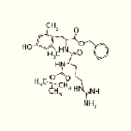 Cc1cc(O)cc(C)c1C[C@H](NC(=O)[C@@H](CCCNC(=N)N)NC(=O)OC(C)(C)C)C(=O)OCc1ccccc1